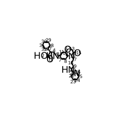 O=C(O)C(CNc1ccc2c(c1)OCC(=O)N2CCCNc1ccccn1)c1ccccc1